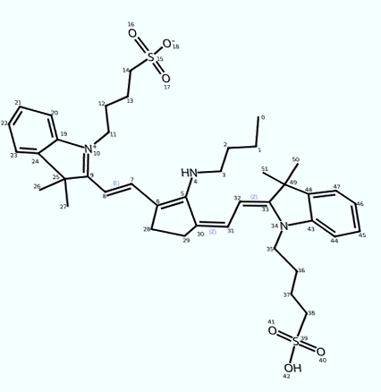 CCCCNC1=C(/C=C/C2=[N+](CCCCS(=O)(=O)[O-])c3ccccc3C2(C)C)CC/C1=C/C=C1\N(CCCCS(=O)(=O)O)c2ccccc2C1(C)C